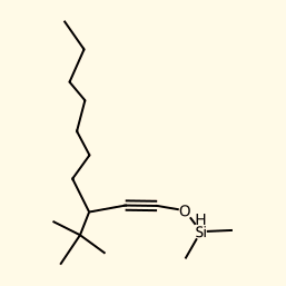 CCCCCCCC(C#CO[SiH](C)C)C(C)(C)C